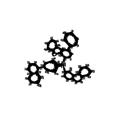 c1ccc(-c2ccc(N(c3ccc(-c4cccc5ccccc45)cc3)c3ccc4ccc5ccccc5c4c3)c3oc4ccccc4c23)cc1